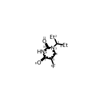 CCC(CC)n1cc(F)c(=O)[nH]c1=O